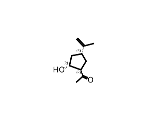 C=C(C)[C@H]1C[C@@H](O)[C@H](C(C)=O)C1